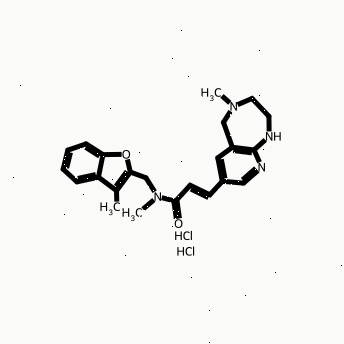 Cc1c(CN(C)C(=O)C=Cc2cnc3c(c2)CN(C)CCN3)oc2ccccc12.Cl.Cl